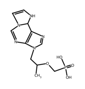 CC(Cn1cnc2c1N=CN1C=CNC21)OCP(=O)(O)O